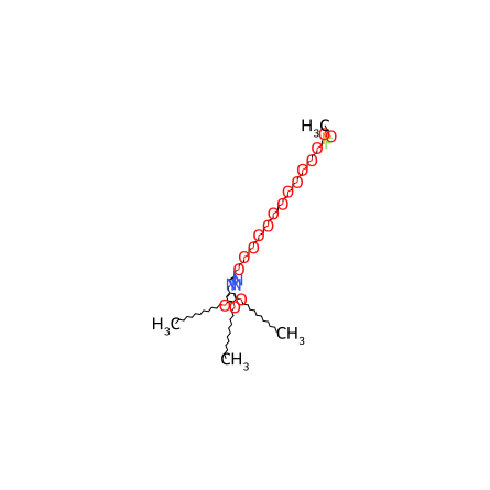 CCCCCCCCCCCCOc1cc(Cn2cc(COCCOCCOCCOCCOCCOCCOCCOCCOCCOCCOCCOCCP(=O)(F)OCC)nn2)cc(OCCCCCCCCCCCC)c1OCCCCCCCCCCCC